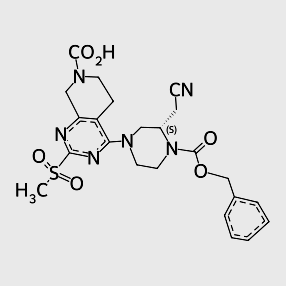 CS(=O)(=O)c1nc2c(c(N3CCN(C(=O)OCc4ccccc4)[C@@H](CC#N)C3)n1)CCN(C(=O)O)C2